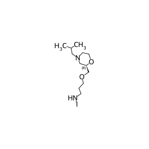 CC(C)CN1CCO[C@@H](COCCCNI)C1